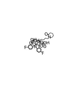 O=C1CCCCN1CCCCN1CC[C@@]2(OP(=O)(O)O)N(c3ccc(F)cc3)c3ccc(F)cc3[C@]2(OP(=O)(O)O)C1